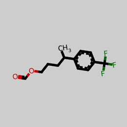 CC(CCCOC=O)c1ccc(C(F)(F)F)cc1